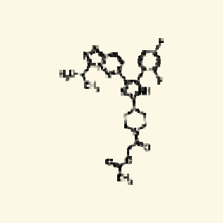 CC(=O)OCC(=O)N1CCC(c2nc(-c3ccc4nnc(C(C)C)n4n3)c(-c3ccc(F)cc3F)[nH]2)CC1